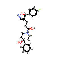 O=C(CCc1cnoc1-c1ccc(F)cc1)N1CCC(O)(c2ccccc2)CC1